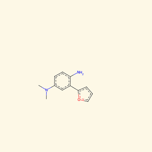 CN(C)c1ccc(N)c(-c2ccco2)c1